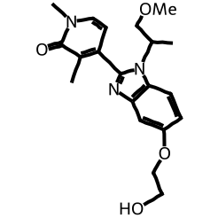 COCC(C)n1c(-c2ccn(C)c(=O)c2C)nc2cc(OCCO)ccc21